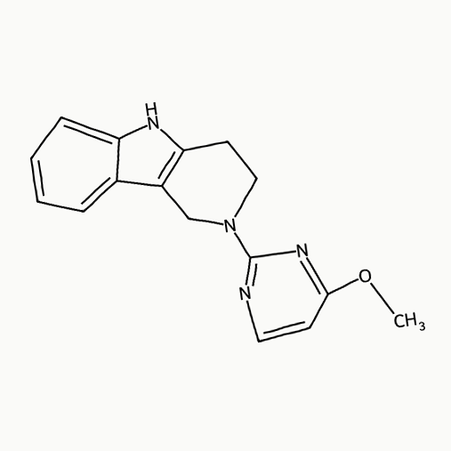 COc1ccnc(N2CCc3[nH]c4ccccc4c3C2)n1